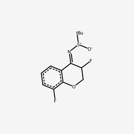 CC(C)(C)[S+]([O-])/N=C1/c2cccc(F)c2OCC1F